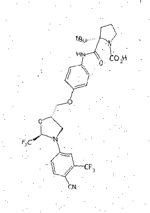 CC(C)(C)[C@]1(C(=O)Nc2ccc(OC[C@@H]3CN(c4ccc(C#N)c(C(F)(F)F)c4)[C@@H](C(F)(F)F)O3)cc2)CCCN1C(=O)O